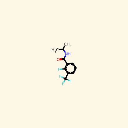 CC(C)NC(=O)c1cccc(C(F)(F)F)c1F